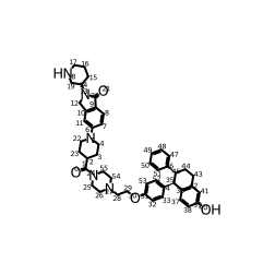 O=C(C1CCN(c2ccc3c(c2)CN(C2CCCNC2)C3=O)CC1)N1CCN(CCOc2ccc([C@@H]3c4ccc(O)cc4CC[C@@H]3c3ccccc3)cc2)CC1